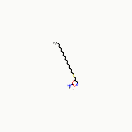 CCCCCCCCCCCCCCCCSCC(C[N])OC(=O)NC